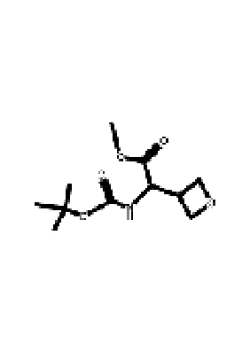 COC(=O)C(NC(=O)OC(C)(C)C)C1COC1